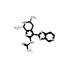 CC(=O)Nc1sc2c(c1-c1nc3cnccc3s1)C[C@H](C)N[C@H]2C